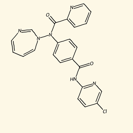 O=C(Nc1ccc(Cl)cn1)c1ccc(N(C(=O)c2ccccn2)N2C=CC=CN=C2)cc1